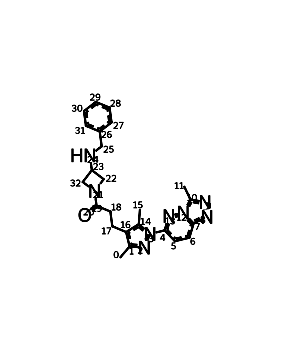 Cc1nn(-c2ccc3nnc(C)n3n2)c(C)c1CCC(=O)N1CC(NCc2ccccc2)C1